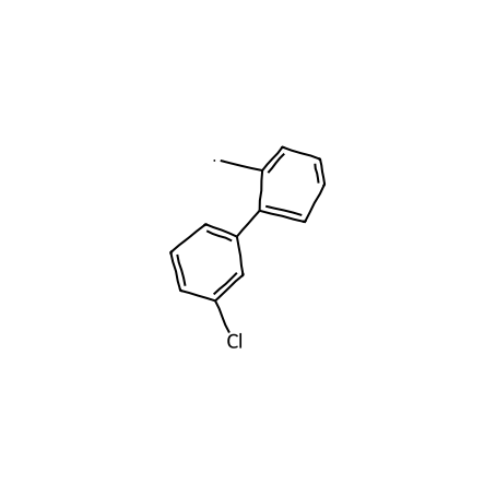 [CH2]c1ccccc1-c1cccc(Cl)c1